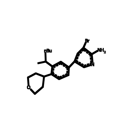 CCCCC(C)c1cc(-c2cnc(N)c(Br)c2)ccc1C1CCOCC1